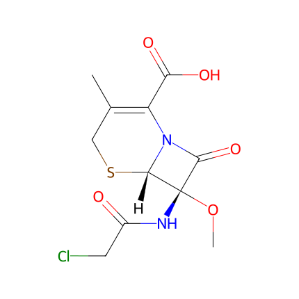 CO[C@@]1(NC(=O)CCl)C(=O)N2C(C(=O)O)=C(C)CS[C@H]21